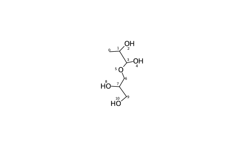 CC(O)C(O)OCC(O)CO